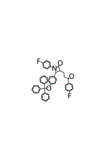 O=C(CCC1C(=O)N(c2ccc(F)cc2)C1c1ccc(OC(c2ccccc2)(c2ccccc2)c2ccccc2)cc1)c1ccc(F)cc1